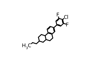 CCCC1CCC2c3ccc(-c4cc(F)c(Cl)c(F)c4)cc3CCC2C1